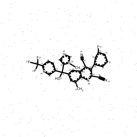 Cc1cc(C(O)(c2ccc(C(F)(F)F)nc2)c2cncn2C)cc2c(C#N)c(-c3cccc(F)c3)c(C#N)nc12